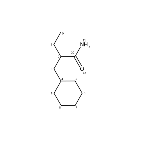 CCC(CC1CCCCC1)C(N)=O